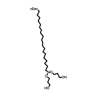 CCCCCCCCCCCCCCCCCCCCCCCCCCCCCCN(OCCCO)OCCCO